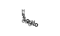 O=C(Nc1ccc(C(=O)N2CC3(CNC3)C2)nn1)N1Cc2ccccc2C1